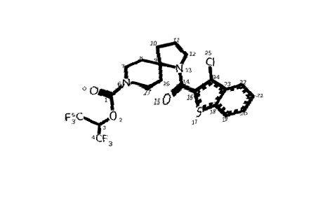 O=C(OC(C(F)(F)F)C(F)(F)F)N1CCC2(CCCN2C(=O)c2sc3ccccc3c2Cl)CC1